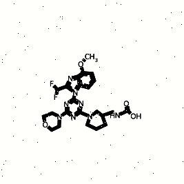 COc1cccc2c1nc(C(F)F)n2-c1nc(N2CCOCC2)nc(N2CCCC(CNC(=O)O)C2)n1